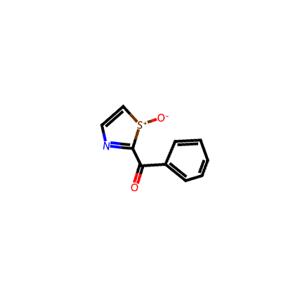 O=C(c1ccccc1)c1ncc[s+]1[O-]